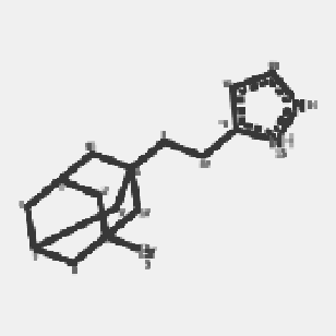 BrC12CC3CC(C1)CC(CCc1ccn[nH]1)(C3)C2